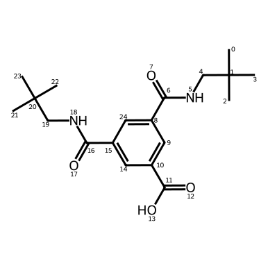 CC(C)(C)CNC(=O)c1cc(C(=O)O)cc(C(=O)NCC(C)(C)C)c1